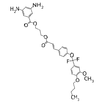 CCCCOc1ccc(C(F)(F)Oc2ccc(C=CC(=O)OCCCOC(=O)c3cc(N)cc(N)c3)cc2)cc1OC